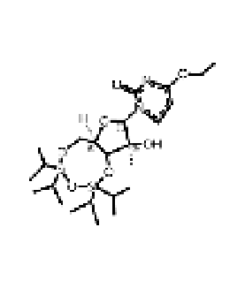 CCOc1ccn([C@@H]2O[C@@H]3CO[Si](C(C)C)(C(C)C)O[Si](C(C)C)(C(C)C)OC3[C@]2(C)O)c(=O)n1